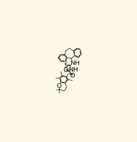 Cc1c(C)c(S(=O)(=O)NC(=S)NC2c3ccccc3CCc3ccccc32)c(C)c2c1OC(C)(C)CC2